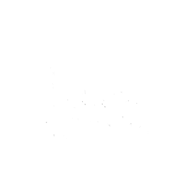 CN(C(=O)C(CC(=O)O)CC1CCCC1)c1nc(-c2cc(Cl)ccc2Cl)cs1